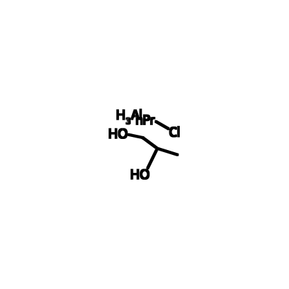 CC(O)CO.CCCCl.[AlH3]